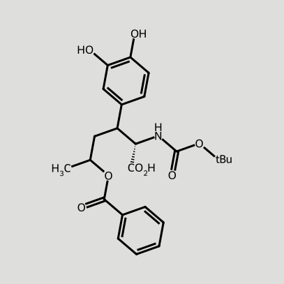 CC(CC(c1ccc(O)c(O)c1)[C@H](NC(=O)OC(C)(C)C)C(=O)O)OC(=O)c1ccccc1